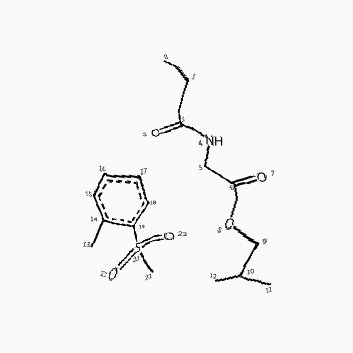 CCC(=O)NCC(=O)OCC(C)C.Cc1ccccc1S(C)(=O)=O